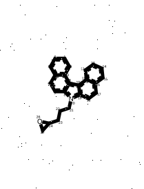 c1ccc2c(c1)ccc1c2c2c3ccccc3ccc2n1CCCC1CO1